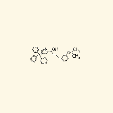 CC(C)Oc1cccc(CCCC(O)c2cn(C(c3ccccc3)(c3ccccc3)c3ccccc3)cn2)c1